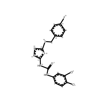 O=C(Nc1ccc(Cl)c(Cl)c1)Nc1nnc(SCc2ccc(F)cc2)s1